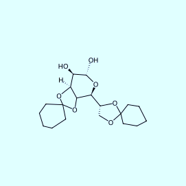 O[C@H]1[C@H](O)O[C@@H]([C@H]2COC3(CCCCC3)O2)C2OC3(CCCCC3)O[C@H]21